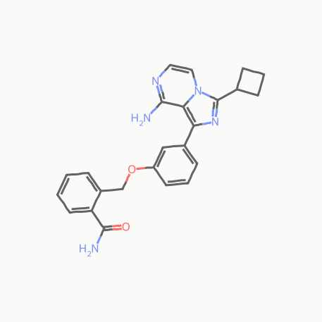 NC(=O)c1ccccc1COc1cccc(-c2nc(C3CCC3)n3ccnc(N)c23)c1